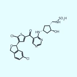 O=C(c1cc([C@@H]2OCc3ccc(Cl)cc32)c(Cl)s1)c1cncnc1N[C@@H]1C[C@H](CNS(=O)(=O)O)[C@@H](O)C1